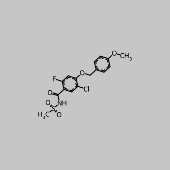 COc1ccc(COc2cc(F)c(C(=O)NS(C)(=O)=O)cc2Cl)cc1